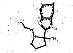 CCCN1CCCC1(C)c1nc2ccccc2[nH]1